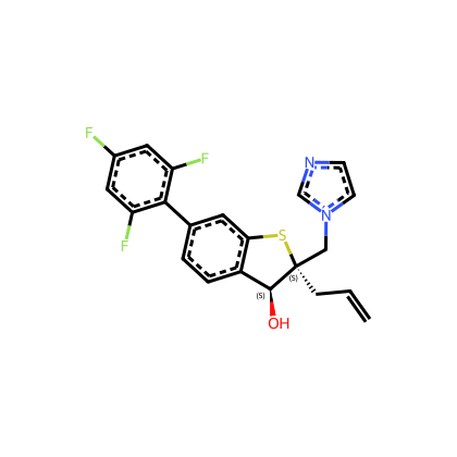 C=CC[C@@]1(Cn2ccnc2)Sc2cc(-c3c(F)cc(F)cc3F)ccc2[C@@H]1O